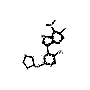 CP(C)c1c(C#N)ccc2c(-c3nc(NC4CCCC4)ncc3C(F)(F)F)c[nH]c12